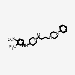 O=C(CCCN1CCN(c2ccccc2)CC1)N1CCC(Nc2ccc([N+](=O)[O-])c(C(F)(F)F)c2)CC1